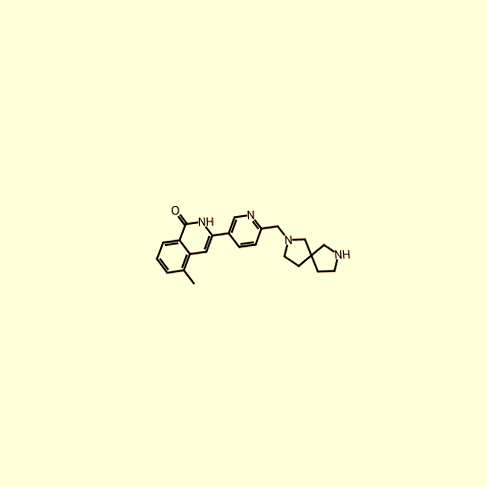 Cc1cccc2c(=O)[nH]c(-c3ccc(CN4CCC5(CCNC5)C4)nc3)cc12